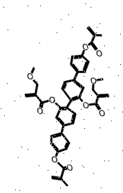 C=C(C)C(=O)Oc1ccc(-c2ccc(-c3ccc(-c4ccc(OC(=O)C(=C)C)cc4)cc3OC(=O)C(=C)COC)c(OC(=O)C(=C)COC)c2)cc1